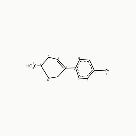 CC(C)c1ccc(C2=CCC(C(=O)O)CC2)cc1